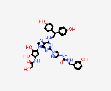 O=C(CO)N[C@H]1C[C@@H](n2cnc3c(NCC(c4ccc(O)cc4)c4ccc(O)cc4)nc(-n4cc(NC(=O)NCc5cccc(O)c5)cn4)nc32)[C@H](O)[C@@H]1O